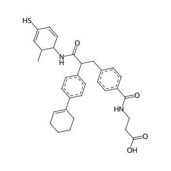 CC1C=C(S)C=CC1NC(=O)C(Cc1ccc(C(=O)NCCC(=O)O)cc1)c1ccc(C2=CCCCC2)cc1